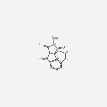 CCCCN1C(=O)C2C(=O)c3cccc4c3C2(CCC4)C1=O